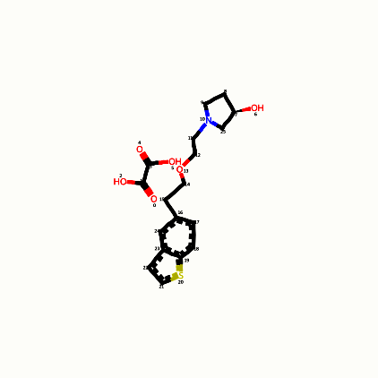 O=C(O)C(=O)O.O[C@@H]1CCN(CCOCCc2ccc3sccc3c2)C1